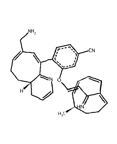 C[C@H]1\C=C/C=C\C(C(=N)/C=C/Oc2cc(C#N)ccc2/C2=C/C(CN)=C\CC[C@H]3CC=CN=C23)=C\CC1